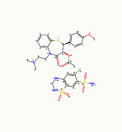 COc1ccc([C@@H]2Sc3ccccc3N(CCN(C)C)C(=O)[C@@H]2OC(C)=O)cc1.NS(=O)(=O)c1cc2c(cc1Cl)NCNS2(=O)=O